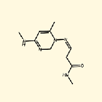 CNC(=O)C/C=N\N1CN=C(NC)C=C1C